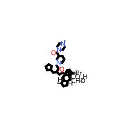 CC(C)C1=CC2CC3(C=O)[C@@H]4CC[C@@H](C)[C@H]4CC2(C2CC(CC4CCCC4)C(CN4CCCC(C(=O)N5CCN(C)CC5)C4)O2)[C@]13C(=O)O